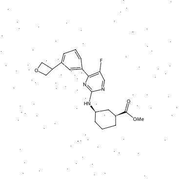 COC(=O)[C@H]1CCC[C@@H](Nc2ncc(F)c(-c3cccc(C4COC4)c3)n2)C1